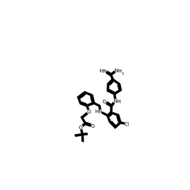 CC(C)(C)OC(=O)COc1ccccc1CNc1ccc(Cl)cc1C(=O)Nc1ccc(C(=N)N)cc1